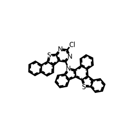 Clc1nc(-n2c3ccccc3c3c4sc5ccccc5c4c4ccccc4c32)c2c(n1)sc1c3ccccc3ccc12